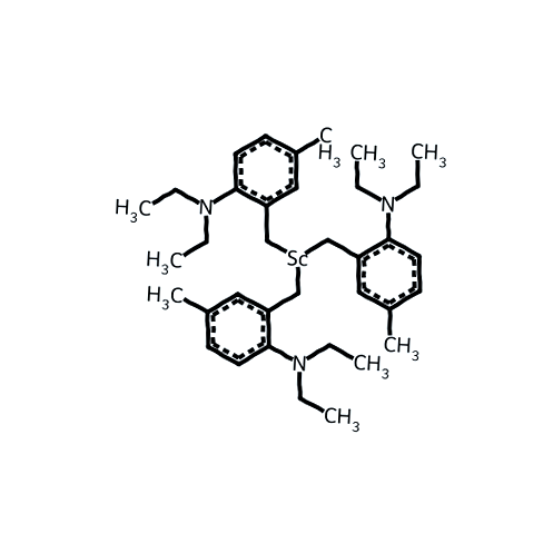 CCN(CC)c1ccc(C)cc1[CH2][Sc]([CH2]c1cc(C)ccc1N(CC)CC)[CH2]c1cc(C)ccc1N(CC)CC